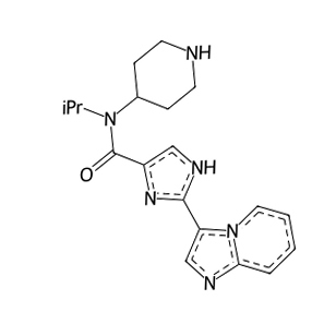 CC(C)N(C(=O)c1c[nH]c(-c2cnc3ccccn23)n1)C1CCNCC1